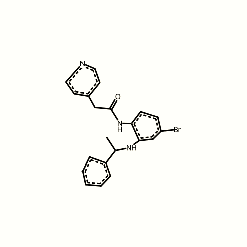 CC(Nc1cc(Br)ccc1NC(=O)Cc1ccncc1)c1ccccc1